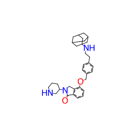 O=C1c2cccc(OCc3ccc(CCNC45CC6CC(CC(C6)C4)C5)cc3)c2CN1C1CCCNC1